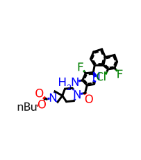 CCCCOC(=O)N1CC2(CCN(C(=O)c3cnc(-c4cccc5ccc(F)c(Cl)c45)c(F)c3N)CC2)C1